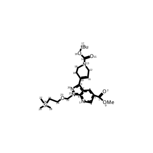 COC(=O)c1cnc2c(c1)c(C1=CCN(C(=O)OC(C)(C)C)CC1)nn2COCC[Si](C)(C)C